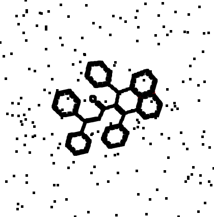 O=C(C=C(c1ccccc1)c1ccccc1)C(=C(c1ccccc1)c1ccccc1)C(c1ccccc1)c1ccccc1